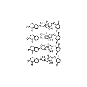 O=C1CCc2cc([C@@H](O)CN3C[C@@H]4C[C@@H](Oc5cc(F)ccc5F)C[C@]4(O)C3)ccc2N1.O=C1CCc2cc([C@@H](O)CN3C[C@H]4C[C@H](Oc5cc(F)ccc5F)C[C@@]4(O)C3)ccc2N1.O=C1CCc2cc([C@H](O)CN3C[C@@H]4C[C@@H](Oc5cc(F)ccc5F)C[C@]4(O)C3)ccc2N1.O=C1CCc2cc([C@H](O)CN3C[C@H]4C[C@H](Oc5cc(F)ccc5F)C[C@@]4(O)C3)ccc2N1